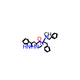 CN(Cc1ccccc1)CC(Cc1ccccc1)N1CCN[C@@H](Cc2c[nH]c3ccccc23)C1=O